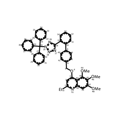 CCc1cc(OCc2ccc(-c3ccccc3-c3nnn(C(c4ccccc4)(c4ccccc4)c4ccccc4)n3)cc2)c2c(OC)c(OC)c(OC)cc2n1